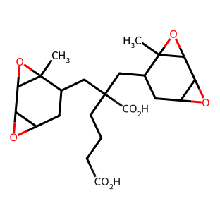 CC12OC1C1OC1CC2CC(CCCC(=O)O)(CC1CC2OC2C2OC12C)C(=O)O